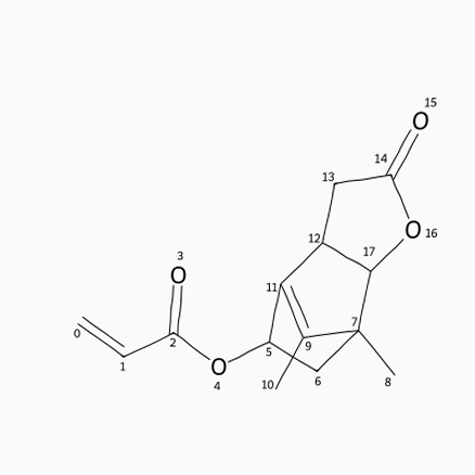 C=CC(=O)OC1CC2(C)C(C)=C1C1CC(=O)OC12